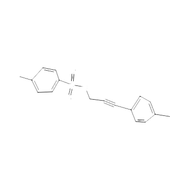 Cc1ccc(C#CCOS(=O)(=O)c2ccc(C)cc2)cc1